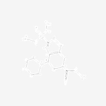 CC(C)(C)OC(=O)N1Cc2ccc(P(=O)(OC(C)(C)C)OC(C)(C)C)nc2C(N2CCSCC2)C1